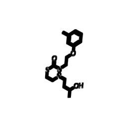 Cc1cccc(OCCN2C(=O)SCCN2CCC(C)O)c1